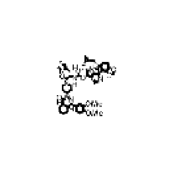 COc1ccc(C2=NN(C3CCN(C(=O)[C@H](Cc4cscn4)NC(=O)Oc4c(C)[nH]c5c(-c6c(OCC7CC7)ccc7c6OCO7)ncnc45)CC3)C(=O)[C@@H]3CCCC[C@H]23)cc1OC